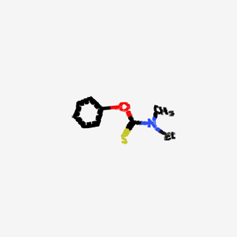 CCN(C)C(=S)Oc1ccccc1